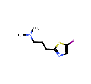 CN(C)CCCc1ncc(I)s1